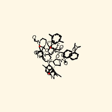 COc1cccc(S(=O)(=O)N2C[C@H](c3c(C)noc3C)[C@@H]([N+]3(c4cc(C)ccc4C)CCN(C(=O)C4(OC(=O)C(F)(F)F)CN(C=O)CC[N@+]4(c4cc(C)ccc4C)[C@H]4CN(S(=O)(=O)c5cccc(OC)c5)C[C@@H]4c4c(C)noc4C)CC3)C2)c1